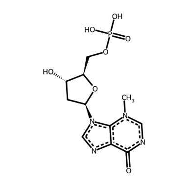 Cn1cnc(=O)c2ncn([C@H]3C[C@H](O)[C@@H](COP(=O)(O)O)O3)c21